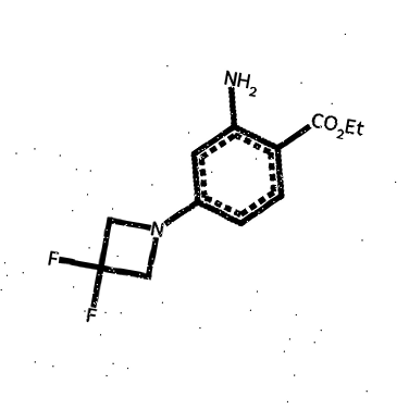 CCOC(=O)c1ccc(N2CC(F)(F)C2)cc1N